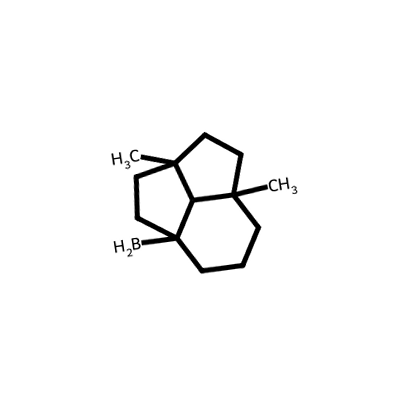 BC12CCCC3(C)CCC(C)(CC1)C23